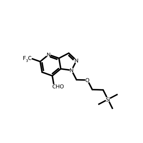 C[Si](C)(C)CCOCn1ncc2nc(C(F)(F)F)cc(C=O)c21